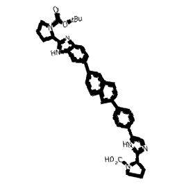 CC(C)(C)OC(=O)N1CCCC1c1nc2ccc(-c3ccc4cc(-c5ccc(-c6cnc(C7CCCN7C(=O)O)[nH]6)cc5)ccc4c3)cc2[nH]1